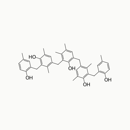 Cc1ccc(O)c(Cc2c(C)c(Cc3cc(C)c(C)c(Cc4cc(C)c(O)c(Cc5cc(C)ccc5O)c4C)c3O)cc(C)c2O)c1